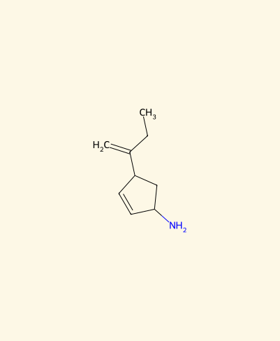 C=C(CC)C1C=CC(N)C1